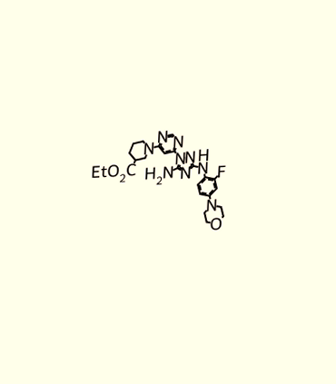 CCOC(=O)C1CCCN(c2cc(-n3nc(Nc4ccc(N5CCOCC5)cc4F)nc3N)ncn2)C1